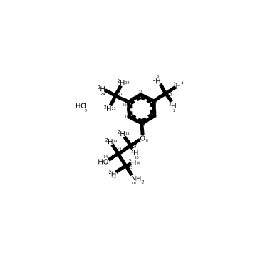 Cl.[2H]C([2H])([2H])c1cc(OC([2H])([2H])C([2H])(O)C([2H])([2H])N)cc(C([2H])([2H])[2H])c1